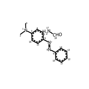 CN(C)c1ccc(N=Nc2ccccc2)cc1.NC=O